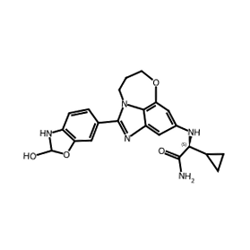 NC(=O)[C@@H](Nc1cc2c3c(c1)nc(-c1ccc4c(c1)OC(O)N4)n3CCCO2)C1CC1